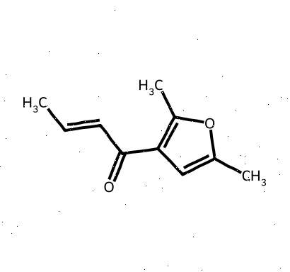 CC=CC(=O)c1cc(C)oc1C